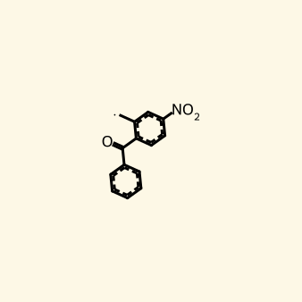 [CH2]c1cc([N+](=O)[O-])ccc1C(=O)c1ccccc1